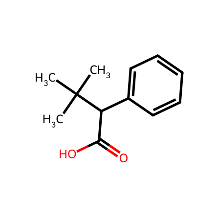 CC(C)(C)C(C(=O)O)c1ccccc1